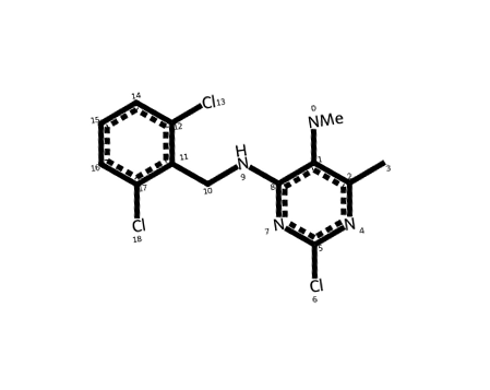 CNc1c(C)nc(Cl)nc1NCc1c(Cl)cccc1Cl